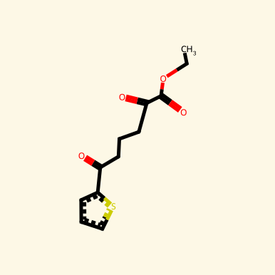 CCOC(=O)C(=O)CCCC(=O)c1cccs1